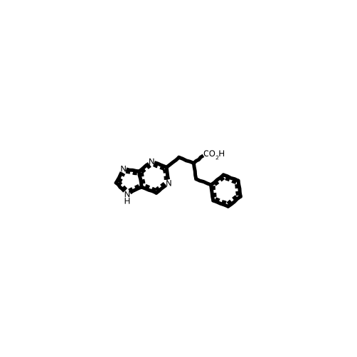 O=C(O)C(Cc1ccccc1)Cc1ncc2[nH]cnc2n1